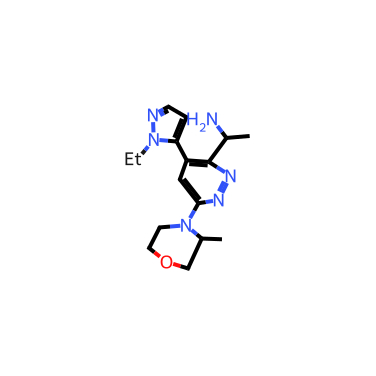 CCn1nccc1-c1cc(N2CCOCC2C)nnc1C(C)N